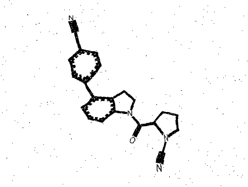 N#Cc1ccc(-c2cccc3c2CCN3C(=O)C2CCCN2C#N)cc1